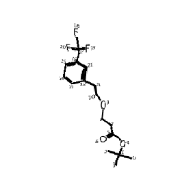 CC(C)(C)OC(=O)CCOCCc1cccc(C(F)(F)F)c1